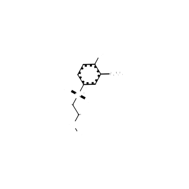 CNc1cc(S(=O)(=O)CCOS(=O)(=O)O)ccc1S(=O)(=O)O